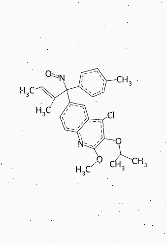 C/C=C(\C)C(N=O)(c1ccc(C)cc1)c1ccc2nc(OC)c(OC(C)C)c(Cl)c2c1